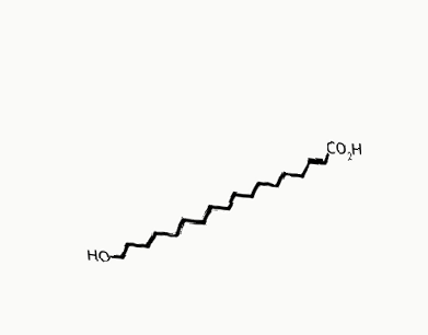 O=C(O)C=CCCCCCCCCCCCCCCCO